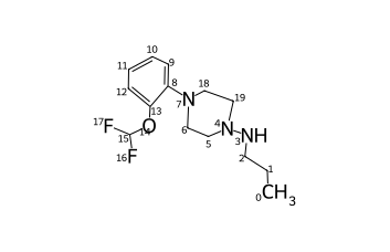 CCCNN1CCN(c2ccccc2OC(F)F)CC1